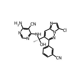 C[C@](O)(Nc1ncnc(N)c1C#N)c1cc2ncc(Cl)n2nc1-c1cccc(C#N)c1